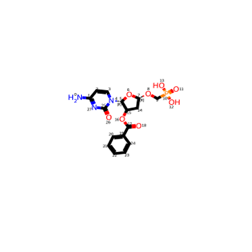 Nc1ccn([C@@H]2O[C@H](OCP(=O)(O)O)CC2OC(=O)c2ccccc2)c(=O)n1